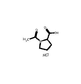 CC(=O)N1CCCC1C(=O)O.Cl